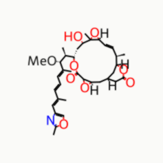 CO[C@@H](/C(C)=C/C=C/C(C)=C/c1coc(C)n1)[C@@H](C)[C@@H]1C[C@H](O)C2(C)O[C@@H]2/C=C/[C@@H](C)[C@H]2C[C@H](CC(=O)O2)C[C@H]2OC2C(=O)O1